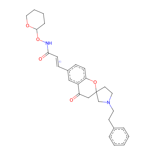 O=C(/C=C/c1ccc2c(c1)C(=O)CC1(CCN(CCc3ccccc3)C1)O2)NOC1CCCCO1